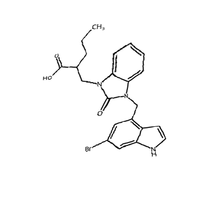 CCCC(Cn1c(=O)n(Cc2cc(Br)cc3[nH]ccc23)c2ccccc21)C(=O)O